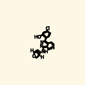 Oc1cc(Cl)ccc1-c1nnc(N[C@H]2C[C@H]3C[C@@H]2CO3)c2cnccc12